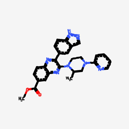 COC(=O)c1ccc2nc(-c3ccc4[nH]ncc4c3)c(N3CCN(c4ccccn4)CC3C)nc2c1